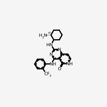 N[C@@H]1CCCCC1Nc1nc(Nc2ccccc2C(F)(F)F)c2c(=O)[nH]ccc2n1